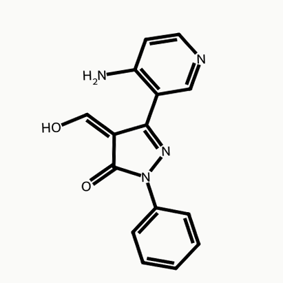 Nc1ccncc1C1=NN(c2ccccc2)C(=O)C1=CO